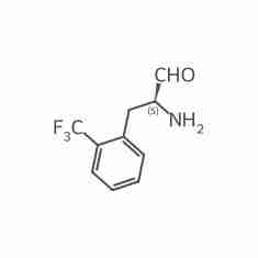 N[C@H](C=O)Cc1ccccc1C(F)(F)F